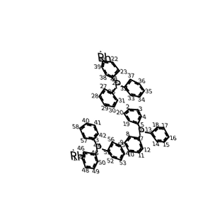 [Rh].[Rh].c1ccc(P(c2ccccc2)c2ccccc2)cc1.c1ccc(P(c2ccccc2)c2ccccc2)cc1.c1ccc(P(c2ccccc2)c2ccccc2)cc1